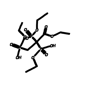 CCOC(=O)C(CP(=O)(O)OCC)(P(=O)(O)OCC)P(=O)(O)OCC